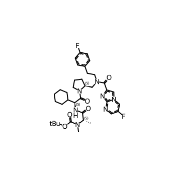 C[C@@H](C(=O)N[C@H](C(=O)N1CCC[C@H]1CN(CCc1ccc(F)cc1)C(=O)c1cn2cc(F)cnc2n1)C1CCCCC1)N(C)C(=O)OC(C)(C)C